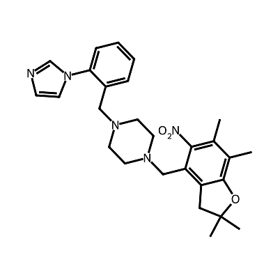 Cc1c(C)c([N+](=O)[O-])c(CN2CCN(Cc3ccccc3-n3ccnc3)CC2)c2c1OC(C)(C)C2